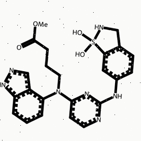 COC(=O)CCCN(c1ccnc(Nc2ccc3c(c2)S(O)(O)NC3)n1)c1cccc2[nH]ncc12